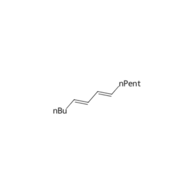 CCCCC=CC=CCCCCC